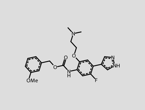 COc1cccc(COC(=O)Nc2cc(F)c(-c3cn[nH]c3)cc2OCCN(C)C)c1